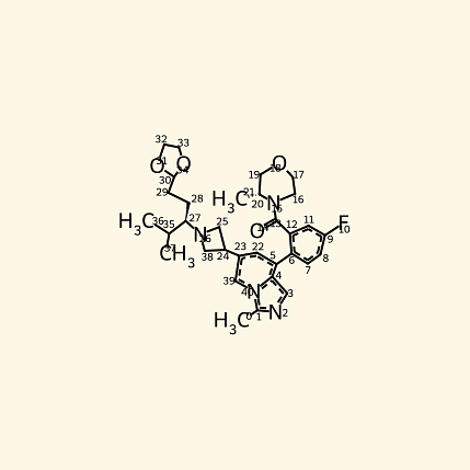 Cc1ncc2c(-c3ccc(F)cc3C(=O)N3CCOC[C@H]3C)cc(C3CN([C@H](CCC4OCCO4)C(C)C)C3)cn12